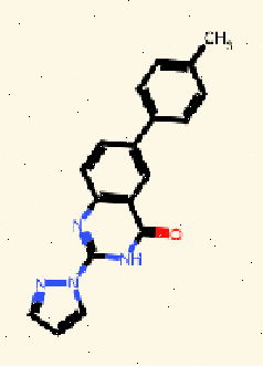 Cc1ccc(-c2ccc3nc(-n4cccn4)[nH]c(=O)c3c2)cc1